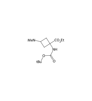 CCOC(=O)C1(NC(=O)OC(C)(C)C)CC(NC)C1